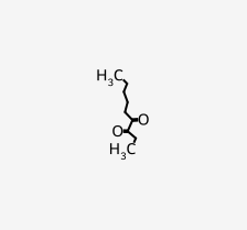 CCCCCC(=O)C(=O)CC